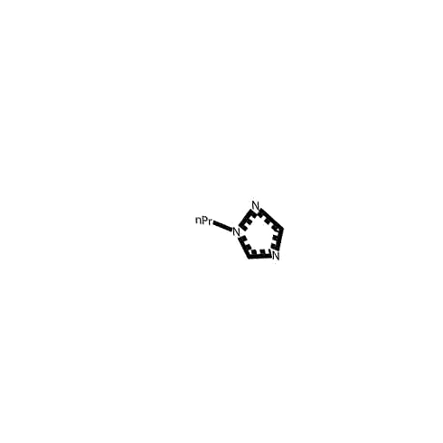 C[CH]Cn1cncn1